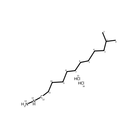 CC(C)CCCCCCCCCCNN.Cl.Cl